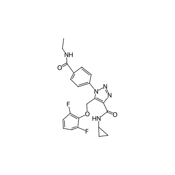 CCNC(=O)c1ccc(-n2nnc(C(=O)NC3CC3)c2COc2c(F)cccc2F)cc1